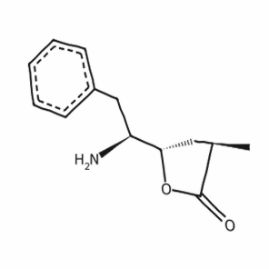 C[C@@H]1C[C@@H]([C@@H](N)Cc2ccccc2)OC1=O